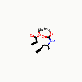 C#CCC(C)NC(=O)OC(C)(C)C.C=CC(=O)OC(C)(C)C